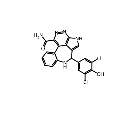 NC(=O)c1nnc2[nH]cc3c2c1-c1ccccc1NC3c1cc(Cl)c(O)c(Cl)c1